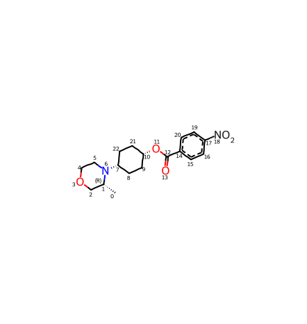 C[C@@H]1COCCN1[C@H]1CC[C@@H](OC(=O)c2ccc([N+](=O)[O-])cc2)CC1